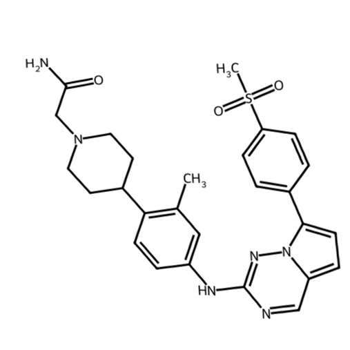 Cc1cc(Nc2ncc3ccc(-c4ccc(S(C)(=O)=O)cc4)n3n2)ccc1C1CCN(CC(N)=O)CC1